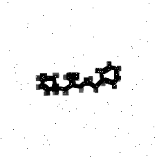 OC(CSCc1ccccc1)Cn1ccnc1